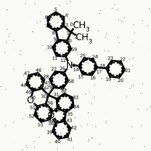 CC1(C)c2ccccc2-c2ccc(N(c3ccc(-c4ccccc4)cc3)c3ccc(C4(c5cccc6c5oc5ccccc56)c5ccccc5Oc5ccccc54)cc3)cc21